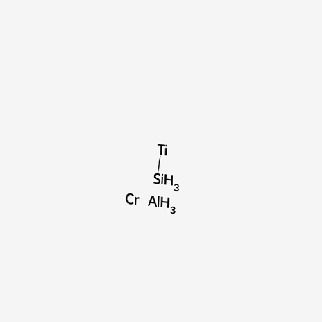 [AlH3].[Cr].[SiH3][Ti]